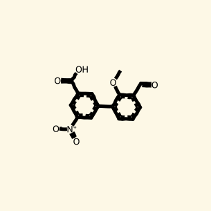 COc1c(C=O)cccc1-c1cc(C(=O)O)cc([N+](=O)[O-])c1